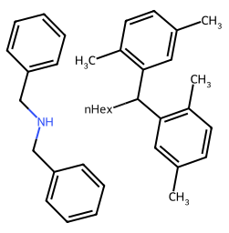 CCCCCCC(c1cc(C)ccc1C)c1cc(C)ccc1C.c1ccc(CNCc2ccccc2)cc1